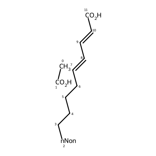 CC(=O)O.CCCCCCCCCCCCCC=CC=CC(=O)O